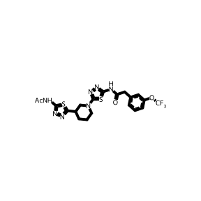 CC(=O)Nc1nnc(C2CCCN(c3nnc(NC(=O)Cc4cccc(OC(F)(F)F)c4)s3)C2)s1